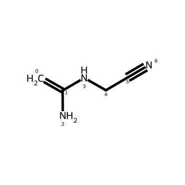 C=C(N)NCC#N